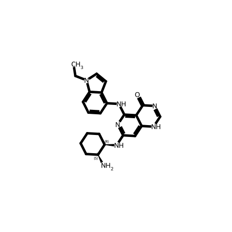 CCn1ccc2c(Nc3nc(N[C@@H]4CCCC[C@@H]4N)cc4[nH]cnc(=O)c34)cccc21